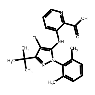 Cc1cccc(C)c1-n1nc(C(C)(C)C)c(Cl)c1Nc1cccnc1C(=O)O